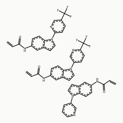 C=CC(=O)Nc1ccc2c(ccn2-c2ccc(C(F)(F)F)cn2)c1.C=CC(=O)Nc1ccc2c(ccn2-c2ccc(C(F)(F)F)nc2)c1.C=CC(=O)Nc1ccc2c(ccn2-c2cccnc2)c1